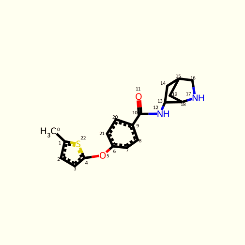 Cc1ccc(Oc2ccc(C(=O)NC3CC4CNC3C4)cc2)s1